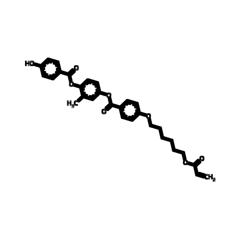 C=CC(=O)OCCCCCCOc1ccc(C(=O)Oc2ccc(OC(=O)c3ccc(O)cc3)c(C)c2)cc1